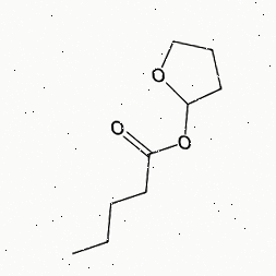 CCCCC(=O)OC1CCCO1